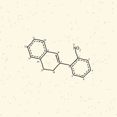 O=[N+]([O-])c1ccccc1C1=Cc2ccccc2CC1